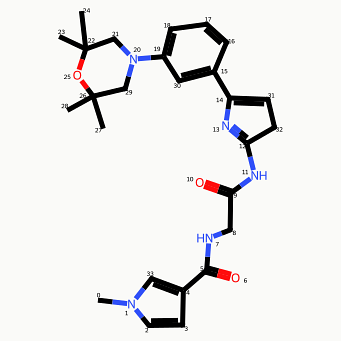 Cn1ccc(C(=O)NCC(=O)NC2=NC(c3cccc(N4CC(C)(C)OC(C)(C)C4)c3)=CC2)c1